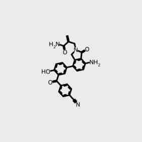 C=C(CN1Cc2c(-c3ccc(O)c(C(=O)c4ccc(C#N)cc4)c3)ccc(N)c2C1=O)C(N)=O